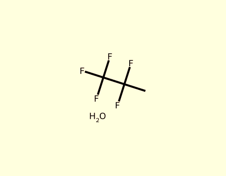 CC(F)(F)C(F)(F)F.O